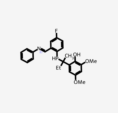 CCC(C)(Pc1ccc(F)cc1/C=N/c1ccccc1)c1cc(OC)cc(OC)c1O